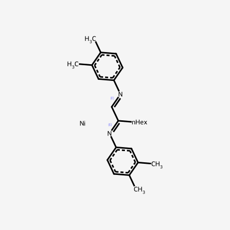 CCCCCCC(/C=N/c1ccc(C)c(C)c1)=N\c1ccc(C)c(C)c1.[Ni]